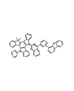 CC1(C)c2ccccc2-c2c1c1c3ccccc3n(-c3nc(-c4cccc(-c5cccc6c5sc5ccccc56)c4)c4ccccc4n3)c1c1c3ccccc3n(-c3ccccc3)c21